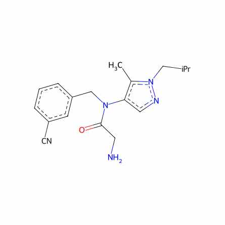 Cc1c(N(Cc2cccc(C#N)c2)C(=O)CN)cnn1CC(C)C